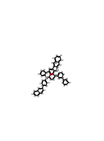 c1ccc(-c2cccc(-c3ccc(N(c4ccc(-c5ccc6ccccc6c5)cc4)c4ccccc4-c4ccc5oc6cc7ccccc7cc6c5c4)cc3)c2)cc1